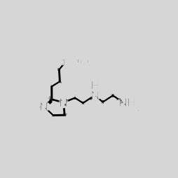 CCCCCCCCCCCC1=NCCN1CCNCCN